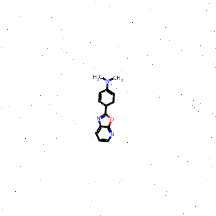 CN(C)C1=CCC(c2nc3cccnc3o2)C=C1